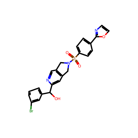 O=S(=O)(c1ccc(-c2ncco2)cc1)N1Cc2cnc(C(O)c3cccc(Br)c3)cc2C1